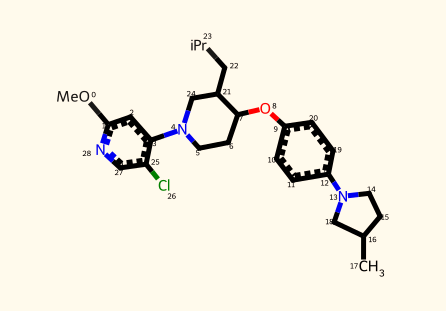 COc1cc(N2CCC(Oc3ccc(N4CCC(C)C4)cc3)C(CC(C)C)C2)c(Cl)cn1